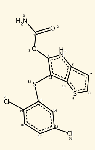 NC(=O)Oc1[nH]c2ccsc2c1Sc1cc(Cl)ccc1Cl